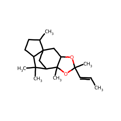 CC=CC1(C)OC2CC34CC(C(C)(C)C3CCC4C)C2(C)O1